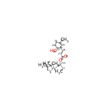 CCC(=CCC1CC=C(C)C1(C)C)COC(=O)C=Cc1cc(C)ccc1O